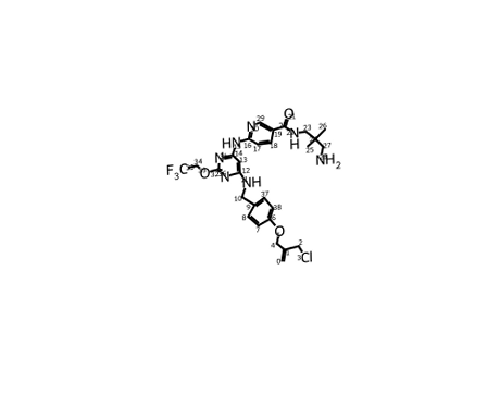 C=C(CCl)COc1ccc(CNc2cc(Nc3ccc(C(=O)NCC(C)(C)CN)cn3)nc(OCC(F)(F)F)n2)cc1